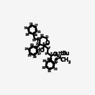 CC(C)(C)[Si](C)(C)OC(CCC1(O)OCCN(Cc2ccccc2)C1c1ccccc1)c1ccccc1